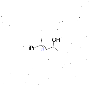 C/C(=C\C(C)O)C(C)C